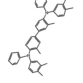 Cc1ccc(N(c2ccccc2)c2ccc(-c3ccc(N(c4ccccc4)c4ccc(C)c(C)c4)c(C)c3)cc2C)cc1C